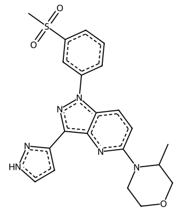 CC1COCCN1c1ccc2c(n1)c(-c1cc[nH]n1)nn2-c1cccc(S(C)(=O)=O)c1